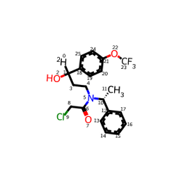 [2H]C(O)(CCN(C(=O)CCl)[C@H](C)c1ccccc1)c1ccc(OC(F)(F)F)cc1